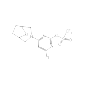 O=S(=O)(Oc1nc(Cl)cc(N2CC3CCC(C2)O3)n1)C(F)(F)F